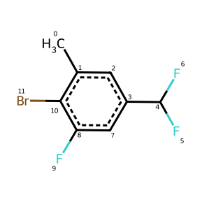 Cc1cc(C(F)F)cc(F)c1Br